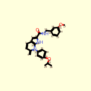 C=C1C=Cc2cc(C(=O)NCc3cccc(OC)c3)[nH]c2N1c1ccc(OC(C)C)cc1